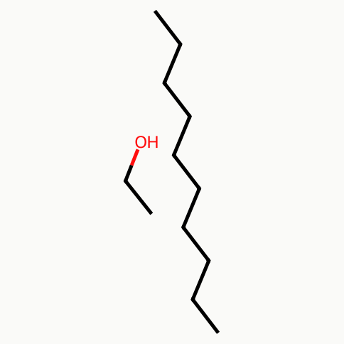 CCCCCCCCCC.CCO